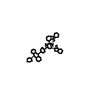 c1ccc(-c2c3ccccc3c(-c3ccc(-c4cc(-c5cc6ccccc6s5)nc(-c5cccc6c5sc5ccccc56)n4)cc3)c3ccccc23)cc1